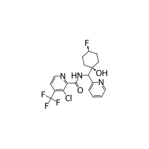 O=C(NC(c1ccccn1)[C@]1(O)CC[C@@H](F)CC1)c1nccc(C(F)(F)F)c1Cl